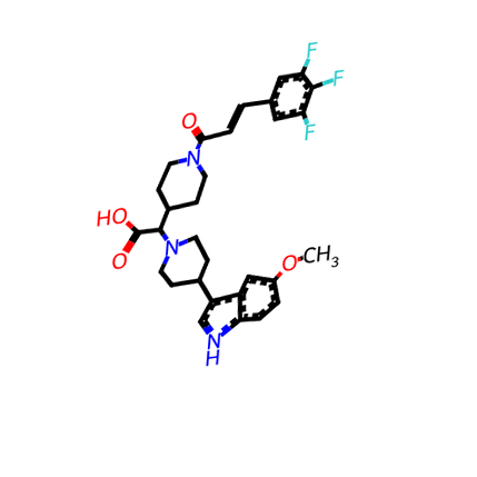 COc1ccc2[nH]cc(C3CCN(C(C(=O)O)C4CCN(C(=O)C=Cc5cc(F)c(F)c(F)c5)CC4)CC3)c2c1